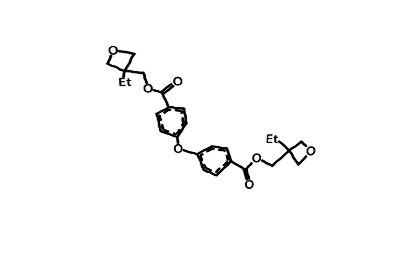 CCC1(COC(=O)c2ccc(Oc3ccc(C(=O)OCC4(CC)COC4)cc3)cc2)COC1